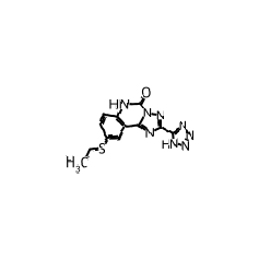 CCSc1ccc2[nH]c(=O)n3nc(-c4nnn[nH]4)nc3c2c1